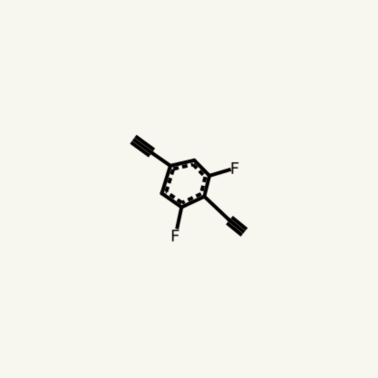 C#Cc1cc(F)c(C#C)c(F)c1